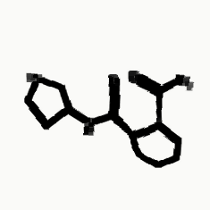 NC(=O)[C@H]1CCCC[C@H]1C(=O)NC1CCNC1